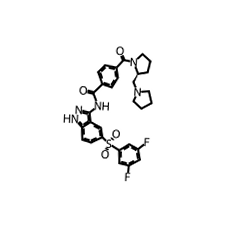 O=C(Nc1n[nH]c2ccc(S(=O)(=O)c3cc(F)cc(F)c3)cc12)c1ccc(C(=O)N2CCC[C@H]2CN2CCCC2)cc1